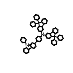 c1ccc(-n2c3ccccc3c3ccc(-c4ccc(N(c5ccc6c(c5)-c5ccccc5C6(c5ccccc5)c5ccccc5)c5ccc6c(c5)-c5ccccc5C6(c5ccccc5)c5ccccc5)cc4)cc32)cc1